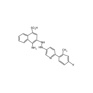 Cc1cc(F)ccc1-c1ccc(NNc2cc(S(=O)(=O)O)c3ccccc3c2N)cn1